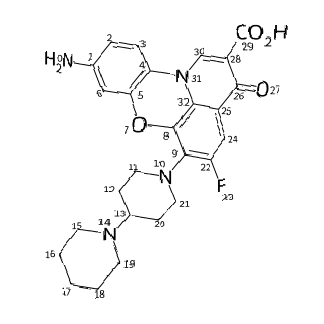 Nc1ccc2c(c1)Oc1c(N3CCC(N4CCCCC4)CC3)c(F)cc3c(=O)c(C(=O)O)cn-2c13